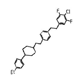 CCc1ccc(C2CCC(CCc3ccc(CCc4cc(F)c(Cl)c(F)c4)cc3)CC2)cc1